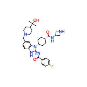 CC(C)(O)C1CCN(Cc2ccc3[nH]/c(=N\C(=O)c4ccc(F)cc4)n([C@H]4CC[C@@H](C(=O)NC5CNC5)CC4)c3c2)CC1